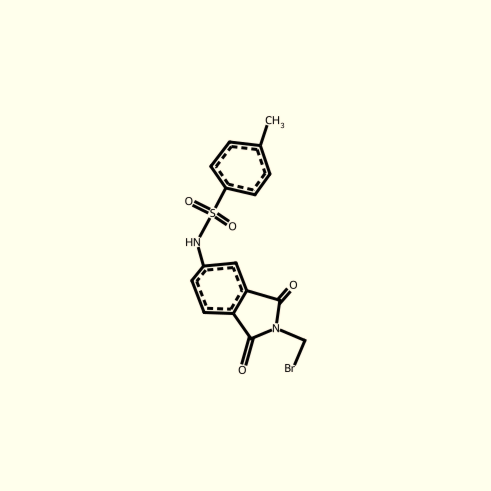 Cc1ccc(S(=O)(=O)Nc2ccc3c(c2)C(=O)N(CBr)C3=O)cc1